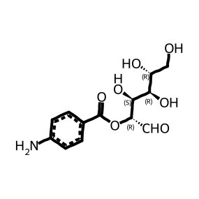 Nc1ccc(C(=O)O[C@@H](C=O)[C@@H](O)[C@H](O)[C@H](O)CO)cc1